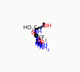 C=C/C(O)=C\C=C(/C)CC[C@H](CNC(=O)c1ccc(N(Cc2cnc3nc(N)[nH]c(=O)c3n2)C(=O)C(F)(F)F)cc1)C(=O)O